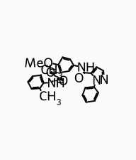 COc1ccc(NC(=O)c2ccnn2-c2ccccc2)cc1S(=O)(=O)Nc1c(C)cccc1C